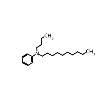 CCCCCCCCCCN(CCCC)c1ccccc1